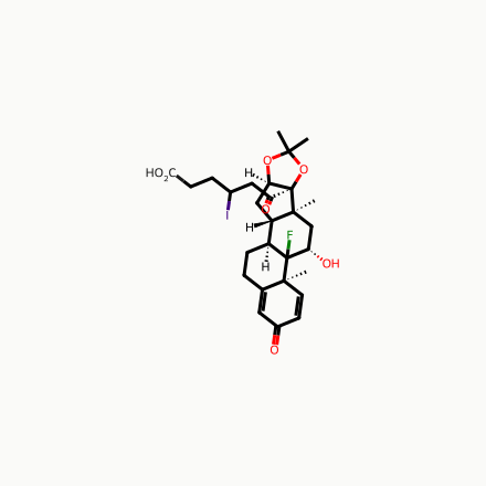 CC1(C)O[C@@H]2C[C@H]3[C@@H]4CCC5=CC(=O)C=C[C@]5(C)C4(F)[C@@H](O)C[C@]3(C)[C@]2(C(=O)CC(I)CCC(=O)O)O1